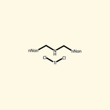 CCCCCCCCCCNCCCCCCCCCC.[Cl][Ti][Cl]